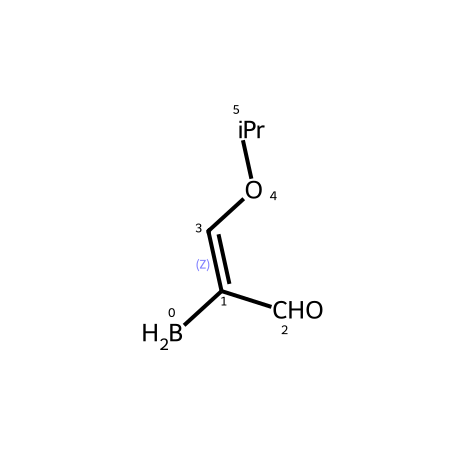 B/C(C=O)=C/OC(C)C